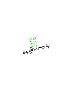 C[CH](C)[Sn+2][CH](C)C.[Cl-].[Cl-]